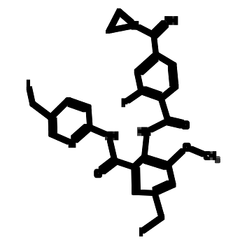 COc1cc(CI)cc(C(=O)Nc2ccc(CI)cn2)c1NC(=O)c1ccc(C(=N)N2CC2)cc1F